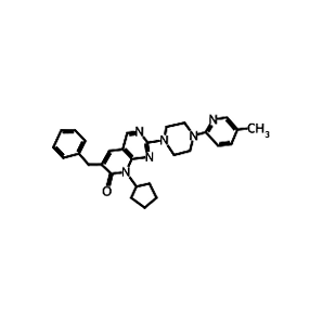 Cc1ccc(N2CCN(c3ncc4cc(Cc5ccccc5)c(=O)n(C5CCCC5)c4n3)CC2)nc1